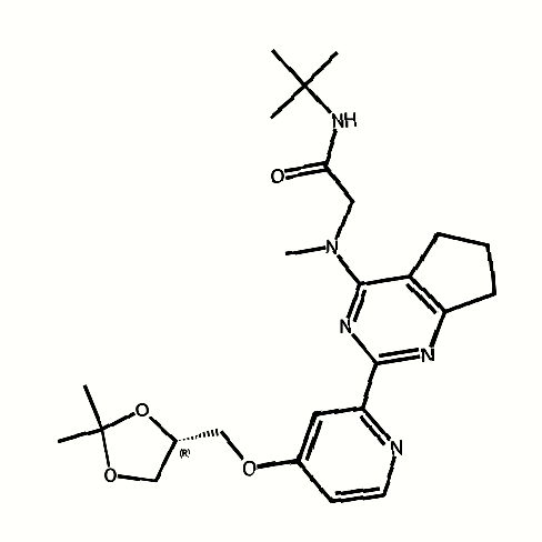 CN(CC(=O)NC(C)(C)C)c1nc(-c2cc(OC[C@@H]3COC(C)(C)O3)ccn2)nc2c1CCC2